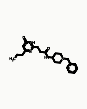 CCCc1cc(=O)[nH]c(SCC(=O)NC2CCN(Cc3ccccc3)CC2)n1